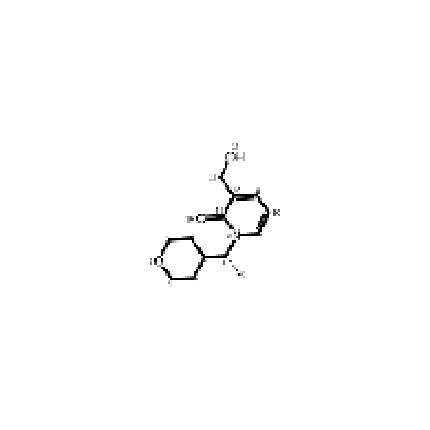 C[C@H](C1CCOCC1)n1cccc(CO)c1=O